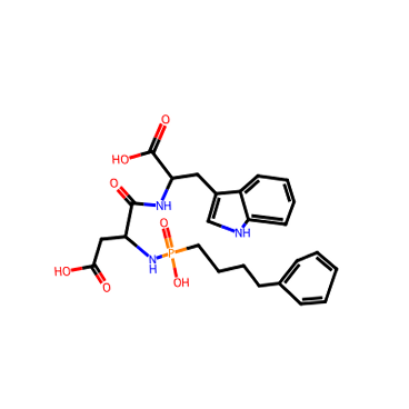 O=C(O)CC(NP(=O)(O)CCCCc1ccccc1)C(=O)NC(Cc1c[nH]c2ccccc12)C(=O)O